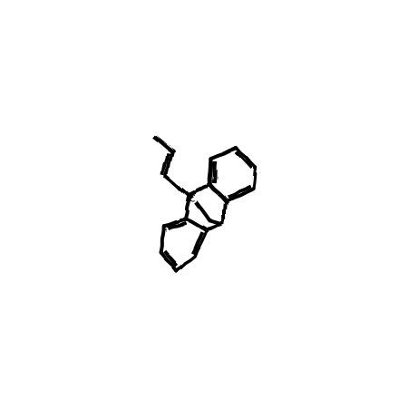 CC=CC12CCC(c3ccccc31)c1ccccc12